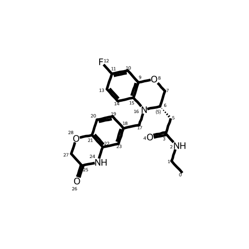 CCNC(=O)C[C@H]1COc2cc(F)ccc2N1Cc1ccc2c(c1)NC(=O)CO2